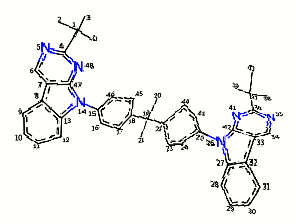 CC(C)(C)c1ncc2c3ccccc3n(-c3ccc(C(C)(C)c4ccc(-n5c6ccccc6c6cnc(C(C)(C)C)nc65)cc4)cc3)c2n1